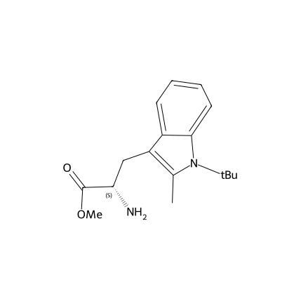 COC(=O)[C@@H](N)Cc1c(C)n(C(C)(C)C)c2ccccc12